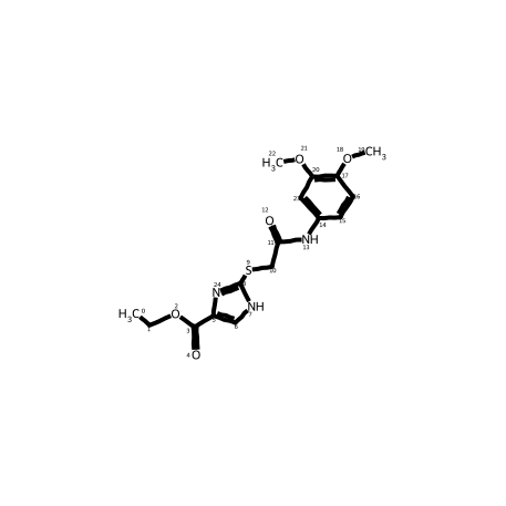 CCOC(=O)c1c[nH]c(SCC(=O)Nc2ccc(OC)c(OC)c2)n1